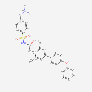 CC(C)c1cc(-c2ccc(Oc3ccccc3)cc2)cc(C(C)C)c1CC(=O)NS(=O)(=O)c1ccc(CN(C)C)cc1